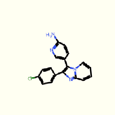 Nc1ccc(-c2c(-c3ccc(Cl)cc3)nc3ccccn23)cn1